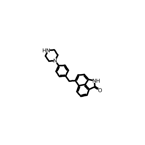 O=C1Nc2ccc(Cc3ccc(N4CCNCC4)cc3)c3cccc1c23